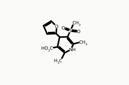 CC1=C(C(=O)O)C(c2ccco2)C(S(C)(=O)=O)=C(C)N1